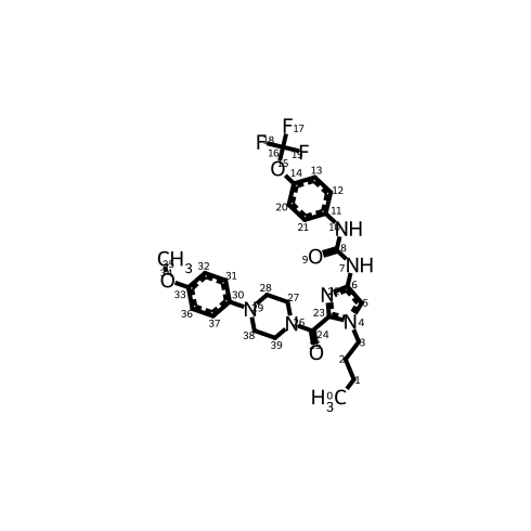 CCCCn1cc(NC(=O)Nc2ccc(OC(F)(F)F)cc2)nc1C(=O)N1CCN(c2ccc(OC)cc2)CC1